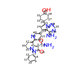 NC(=O)c1c2n(n(-c3ccccc3)c1=O)CCCC2c1ccc(-c2cc(C3CCC(O)CC3)n3ncnc(N)c23)cn1